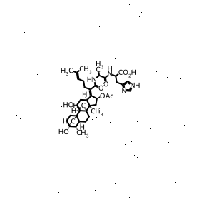 CC(=O)O[C@H]1C[C@@]2(C)[C@@H](C[C@@H](O)[C@@H]3[C@@]4(C)CC[C@@H](O)[C@@H](C)[C@@H]4CC[C@@]32C)/C1=C(\CCC=C(C)C)C(=O)NC(C)C(=O)NC(Cc1c[nH]cn1)C(=O)O